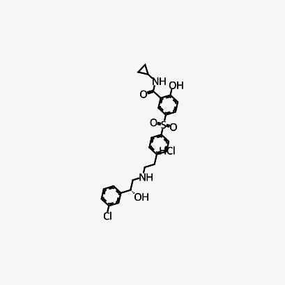 Cl.O=C(NC1CC1)c1cc(S(=O)(=O)c2ccc(CCNC[C@H](O)c3cccc(Cl)c3)cc2)ccc1O